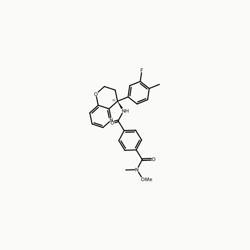 CON(C)C(=O)c1ccc(C(=O)N[C@]2(c3ccc(C)c(F)c3)CCOc3cccnc32)cc1